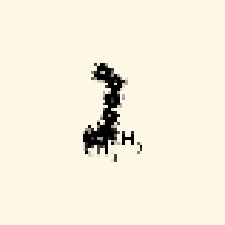 Cc1ccnc2c1ccc1c(C)cc(-c3ccc(-c4ccc(-c5cccc(-c6ccccc6)c5)cc4)cc3)nc12